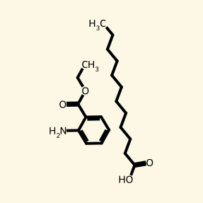 CCCCCCCCCCCC(=O)O.CCOC(=O)c1ccccc1N